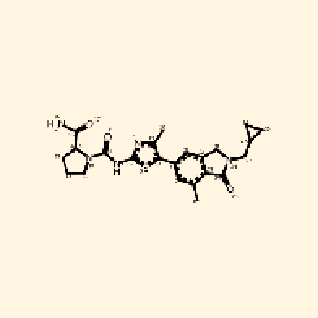 Cc1cc(-c2sc(NC(=O)N3CCC[C@H]3C(N)=O)nc2C)cc2c1C(=O)N(CC1CC1)C2